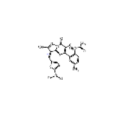 CCN(CC)c1ccc(/C=c2/c(C(C)(C)C)nn3c(=O)c(C)c(-c4cc(C)ccc4NC(=O)C(F)(F)F)nc23)s1